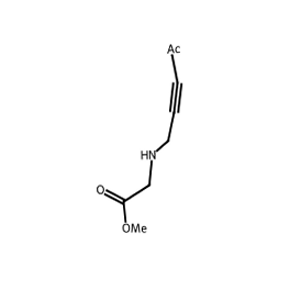 COC(=O)CNCC#CC(C)=O